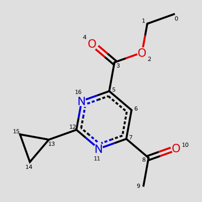 CCOC(=O)c1cc(C(C)=O)nc(C2CC2)n1